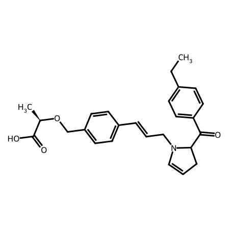 CCc1ccc(C(=O)C2CC=CN2C/C=C/c2ccc(CO[C@H](C)C(=O)O)cc2)cc1